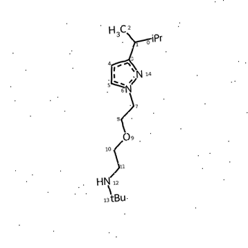 CC(C)C(C)c1ccn(CCOCCNC(C)(C)C)n1